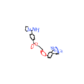 N=C(c1ccc(C(=O)OCCOc2ccc3ccnc(N)c3c2)cc1)N1CCCC1